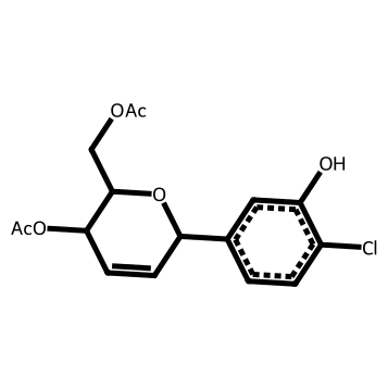 CC(=O)OCC1OC(c2ccc(Cl)c(O)c2)C=CC1OC(C)=O